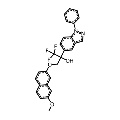 COc1ccc2ccc(OCC(O)(c3ccc4c(cnn4-c4ccccc4)c3)C(F)(F)F)cc2c1